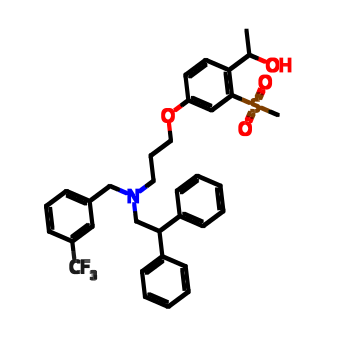 CC(O)c1ccc(OCCCN(Cc2cccc(C(F)(F)F)c2)CC(c2ccccc2)c2ccccc2)cc1S(C)(=O)=O